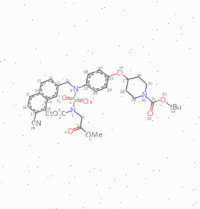 CCOC(=O)N(CC(=O)OC)S(=O)(=O)N(Cc1ccc2ccc(C#N)cc2c1)c1ccc(OC2CCN(C(=O)OC(C)(C)C)CC2)cc1